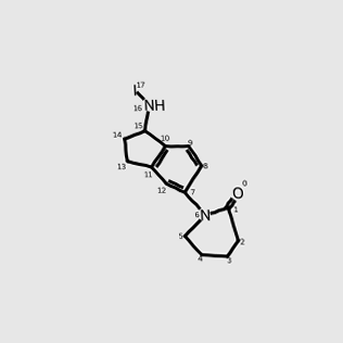 O=C1CCCCN1c1ccc2c(c1)CCC2NI